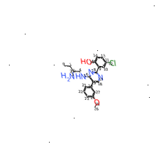 CC[C@H](N)CNc1nc(-c2cc(Cl)ccc2O)ncc1-c1cccc(OC)c1